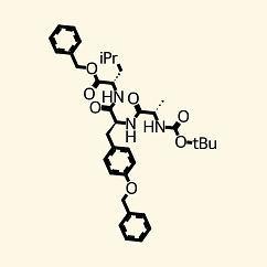 CC(C)C[C@H](NC(=O)[C@H](Cc1ccc(OCc2ccccc2)cc1)NC(=O)[C@H](C)NC(=O)OC(C)(C)C)C(=O)OCc1ccccc1